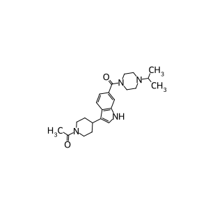 CC(=O)N1CCC(c2c[nH]c3cc(C(=O)N4CCN(C(C)C)CC4)ccc23)CC1